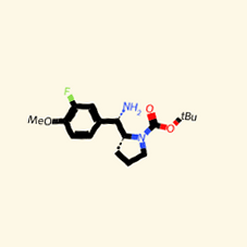 COc1ccc([C@H](N)[C@H]2CCCN2C(=O)OC(C)(C)C)cc1F